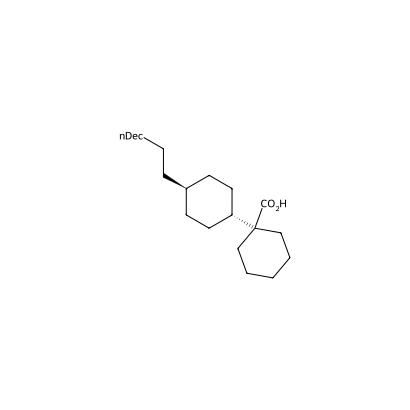 CCCCCCCCCCCC[C@H]1CC[C@H](C2(C(=O)O)CCCCC2)CC1